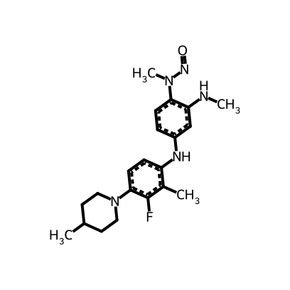 CNc1cc(Nc2ccc(N3CCC(C)CC3)c(F)c2C)ccc1N(C)N=O